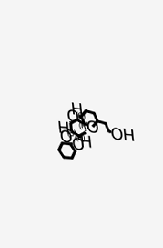 OCCC1CC[C@@H]2OC3C[C@]2(C[C@H]2OC4(CCCCC4)O[C@@H]32)O1